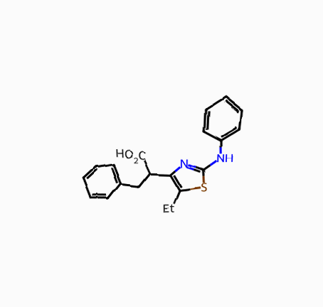 CCc1sc(Nc2ccccc2)nc1C(Cc1ccccc1)C(=O)O